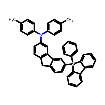 Cc1ccc(N(c2ccc(C)cc2)c2ccc3c(c2)-c2cc([Si]4(c5ccccc5)c5ccccc5-c5ccccc54)ccc2C3)cc1